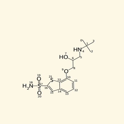 CC(C)(C)NCC(O)COc1cccc2cc(S(N)(=O)=O)sc12